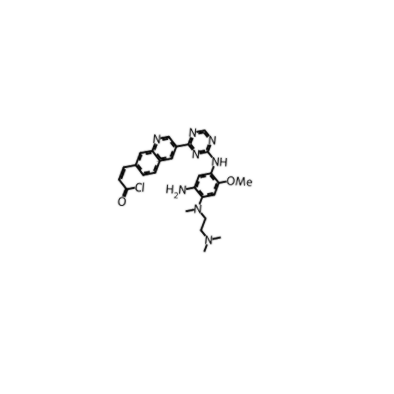 COc1cc(N(C)CCN(C)C)c(N)cc1Nc1ncnc(-c2cnc3cc(/C=C\C(=O)Cl)ccc3c2)n1